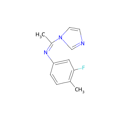 CC(=Nc1ccc(C)c(F)c1)n1ccnc1